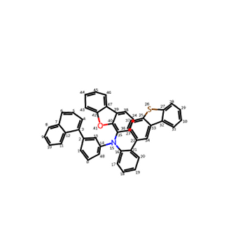 c1cc(-c2cccc3ccccc23)cc(N(c2ccccc2-c2ccc3sc4ccccc4c3c2)c2cccc3c2oc2ccccc23)c1